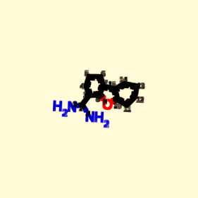 NC(N)c1cccc2c1oc1ccccc12